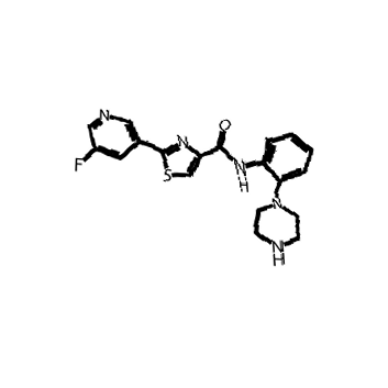 O=C(Nc1ccccc1N1CCNCC1)c1csc(-c2cncc(F)c2)n1